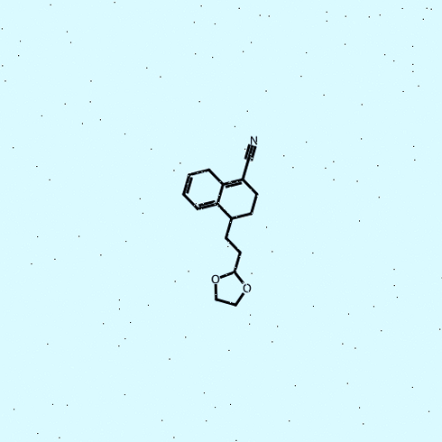 N#CC1=C2CC=CC=C2C(CCC2OCCO2)CC1